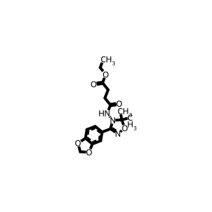 CCOC(=O)CCC(=O)NN1C(c2ccc3c(c2)OCO3)=NOC1(C)C